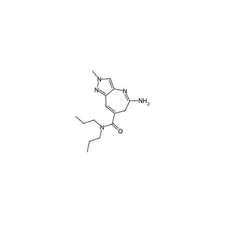 CCCN(CCC)C(=O)C1=Cc2nn(C)cc2N=C(N)C1